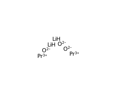 [LiH].[LiH].[O-2].[O-2].[O-2].[Pr+3].[Pr+3]